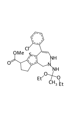 CCOC(C)(NN1Cc2c(sc3c2CCC3C(=O)OC)C(c2ccccc2Cl)=CN1)OCC